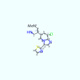 CN/C=C(\C=N)c1cc(Cl)c2ncc(-c3nccs3)n2c1